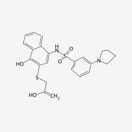 C=C(O)CSc1cc(NS(=O)(=O)c2cccc(N3CCCC3)c2)c2ccccc2c1O